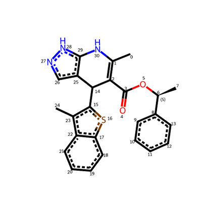 CC1=C(C(=O)O[C@@H](C)c2ccccc2)C(c2sc3ccccc3c2C)c2cn[nH]c2N1